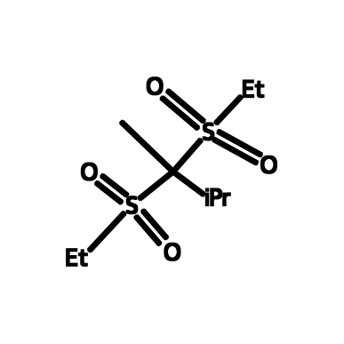 CCS(=O)(=O)C(C)(C(C)C)S(=O)(=O)CC